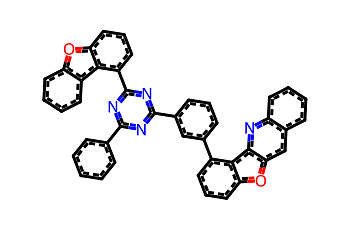 c1ccc(-c2nc(-c3cccc(-c4cccc5oc6cc7ccccc7nc6c45)c3)nc(-c3cccc4oc5ccccc5c34)n2)cc1